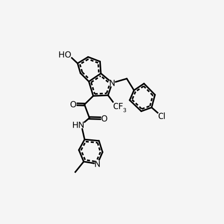 Cc1cc(NC(=O)C(=O)c2c(C(F)(F)F)n(Cc3ccc(Cl)cc3)c3ccc(O)cc23)ccn1